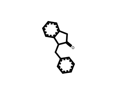 O=C1Cc2ccccc2C1Cc1ccccc1